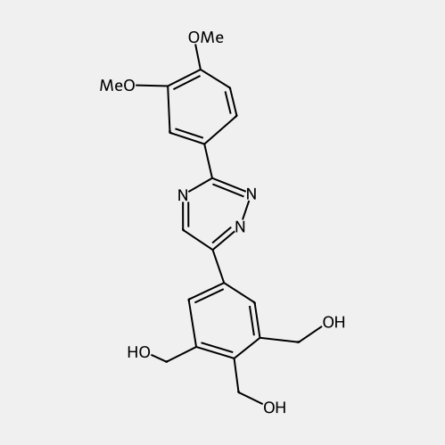 COc1ccc(-c2ncc(-c3cc(CO)c(CO)c(CO)c3)nn2)cc1OC